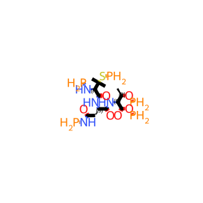 C[C@@H](OP)[C@H](NC(=O)[C@H](CC(=O)NP)NC(=O)[C@@H](NP)C(C)(C)SP)C(=O)OP